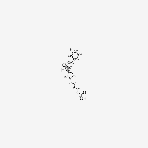 O=C(O)CCC/C=C/C1CCC(NS(=O)(=O)/C=C/c2cccc(I)c2)C1